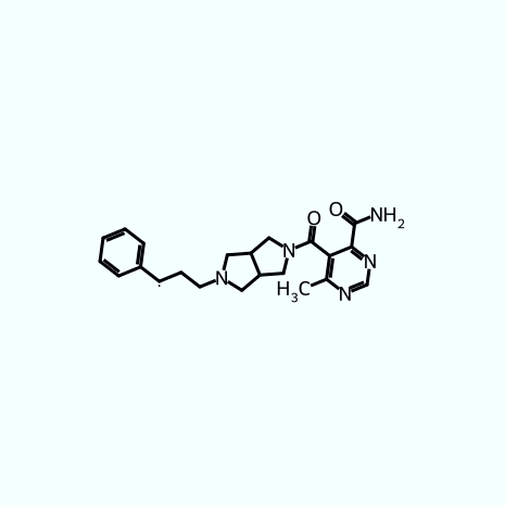 Cc1ncnc(C(N)=O)c1C(=O)N1CC2CN(CC[CH]c3ccccc3)CC2C1